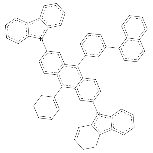 C1=CCCC(c2c3cc(-n4c5c(c6ccccc64)CCC=C5)ccc3c(-c3cccc(-c4cccc5ccccc45)c3)c3cc(-n4c5ccccc5c5ccccc54)ccc23)=C1